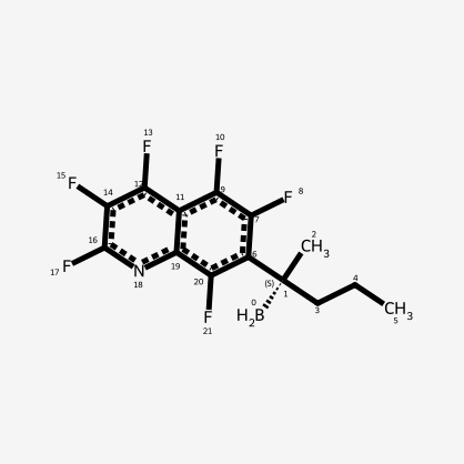 B[C@](C)(CCC)c1c(F)c(F)c2c(F)c(F)c(F)nc2c1F